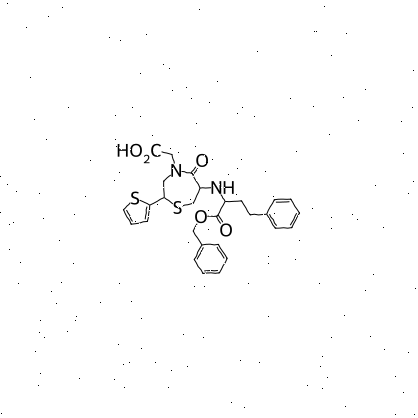 O=C(O)CN1CC(c2cccs2)SCC(NC(CCc2ccccc2)C(=O)OCc2ccccc2)C1=O